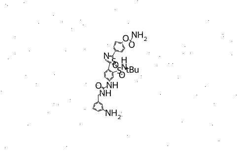 CC(C)(C)NS(=O)(=O)c1cc(NC(=O)NCc2cccc(N)c2)ccc1-c1cnc(-c2ccc(OC(N)=O)cc2)s1